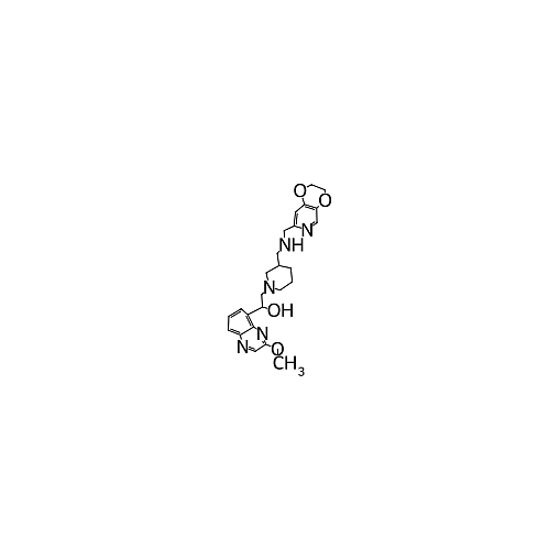 COc1cnc2cccc(C(O)CN3CCCC(CNCc4cc5c(cn4)OCCO5)C3)c2n1